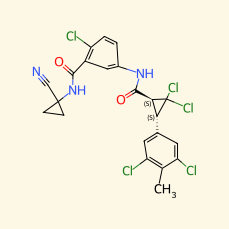 Cc1c(Cl)cc([C@@H]2[C@@H](C(=O)Nc3ccc(Cl)c(C(=O)NC4(C#N)CC4)c3)C2(Cl)Cl)cc1Cl